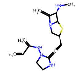 C=CC(=C)NN1CCNC1=C=C[C@H]1CN2C(=C)[C@@H](NC)C2S1